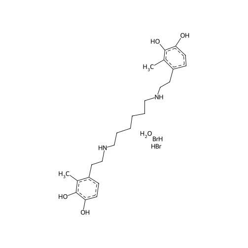 Br.Br.Cc1c(CCNCCCCCCNCCc2ccc(O)c(O)c2C)ccc(O)c1O.O